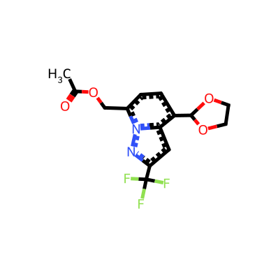 CC(=O)OCc1ccc(C2OCCO2)c2cc(C(F)(F)F)nn12